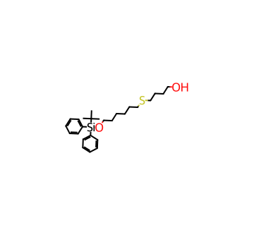 CC(C)(C)[Si](OCCCCCCSCCCCO)(c1ccccc1)c1ccccc1